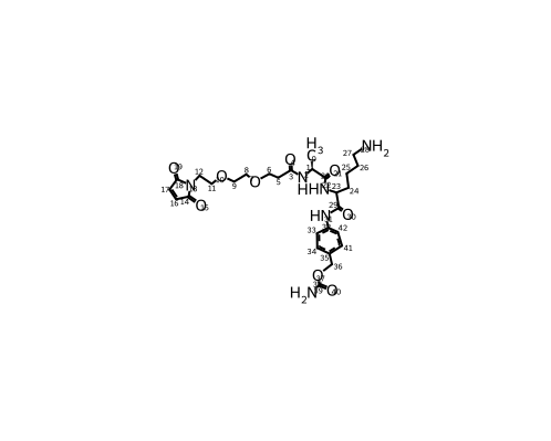 C[C@H](NC(=O)CCOCCOCCN1C(=O)C=CC1=O)C(=O)NC(CCCCN)C(=O)Nc1ccc(COC(N)=O)cc1